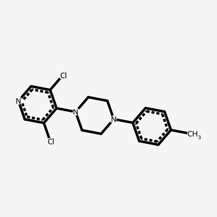 Cc1ccc(N2CCN(c3c(Cl)cncc3Cl)CC2)cc1